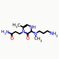 CC1=CNC(N(C)CCCN)C(=O)N1CCC(N)=O